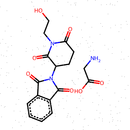 NCC(=O)O.O=C1CCC(N2C(=O)c3ccccc3C2=O)C(=O)N1CCO